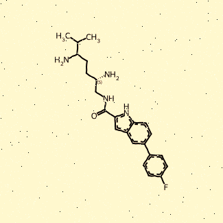 CC(C)C(N)CC[C@H](N)CNC(=O)c1cc2cc(-c3ccc(F)cc3)ccc2[nH]1